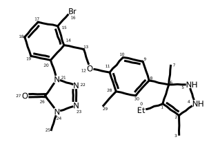 CCC1=C(C)NNC1(C)c1ccc(OCc2c(Br)cccc2-n2nnn(C)c2=O)c(C)c1